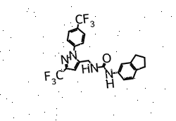 O=C(NCc1cc(C(F)(F)F)nn1-c1ccc(C(F)(F)F)cc1)Nc1ccc2c(c1)CCC2